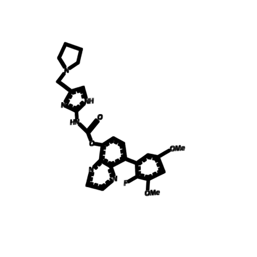 COc1cc(OC)c(F)c(-c2ccc(OC(=O)Nc3nc(CN4CCCC4)c[nH]3)c3nccnc23)c1